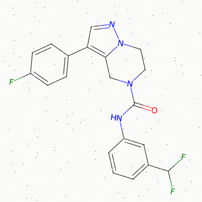 O=C(Nc1cccc(C(F)F)c1)N1CCn2ncc(-c3ccc(F)cc3)c2C1